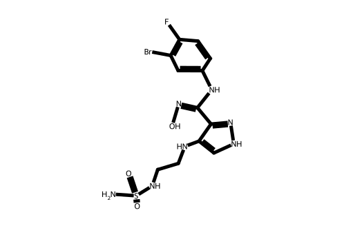 NS(=O)(=O)NCCNc1c[nH]nc1C(=NO)Nc1ccc(F)c(Br)c1